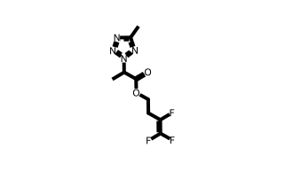 Cc1nnn(C(C)C(=O)OCCC(F)=C(F)F)n1